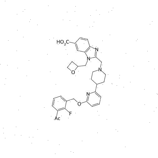 CC(=O)c1cccc(COc2cccc(C3CCN(Cc4nc5ccc(C(=O)O)cc5n4CC4CCO4)CC3)n2)c1F